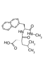 CNC(=O)[C@H](Cc1ccc2ccccc2c1)NC(=O)[C@@H](CC(=O)O)CC(C)C